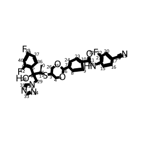 C[C@@H](SC1COC(c2ccc(C(=O)Nc3ccc(C#N)cc3F)cc2)OC1)[C@](O)(Cn1cncn1)c1ccc(F)cc1F